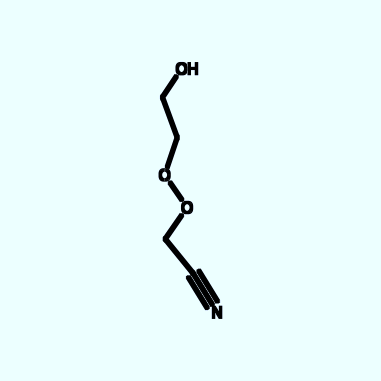 N#CCOOCCO